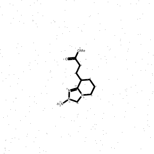 COC(=O)CCC1CCCN2CN(N)N=C12